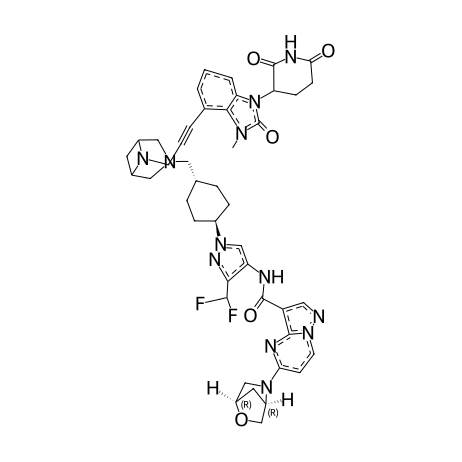 Cn1c(=O)n(C2CCC(=O)NC2=O)c2cccc(C#CCN3C4CC3CN(C[C@H]3CC[C@H](n5cc(NC(=O)c6cnn7ccc(N8C[C@H]9C[C@@H]8CO9)nc67)c(C(F)F)n5)CC3)C4)c21